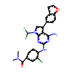 CN(C)C(=O)c1ccc(Nc2nc(N)c3c(-c4ccc5occc5c4)cn(C(F)F)c3n2)c(F)c1